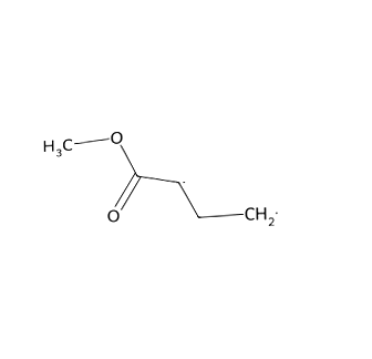 [CH2]C[CH]C(=O)OC